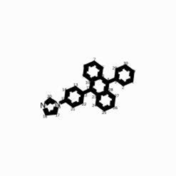 c1ccc(-c2c3ccccc3c(-c3ccc(-n4ccnc4)cc3)c3ccccc23)cc1